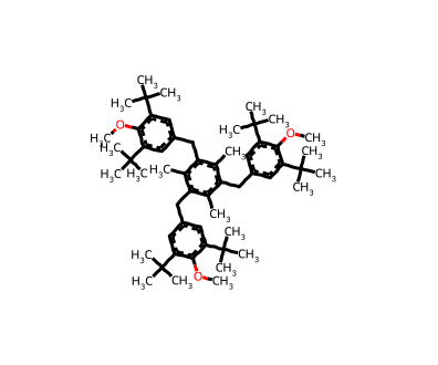 COc1c(C(C)(C)C)cc(Cc2c(C)c(Cc3cc(C(C)(C)C)c(OC)c(C(C)(C)C)c3)c(C)c(Cc3cc(C(C)(C)C)c(OC)c(C(C)(C)C)c3)c2C)cc1C(C)(C)C